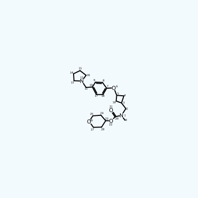 CN(CC1CC(Oc2ccc(CN3CCCC3)cc2)C1)C(=O)OC1CCOCC1